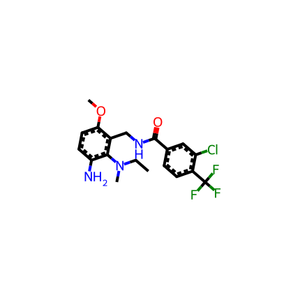 CCN(C)c1c(N)ccc(OC)c1CNC(=O)c1ccc(C(F)(F)F)c(Cl)c1